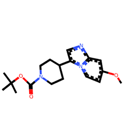 COc1ccn2c(C3CCN(C(=O)OC(C)(C)C)CC3)cnc2c1